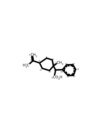 C=C(C)C1CCC(C)(C(C(=O)O)c2ccccc2)CC1